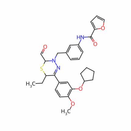 CCC1SC(C=O)N(Cc2cccc(NC(=O)c3ccco3)c2)N=C1c1ccc(OC)c(OC2CCCC2)c1